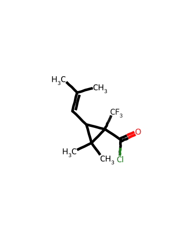 CC(C)=CC1C(C)(C)C1(C(=O)Cl)C(F)(F)F